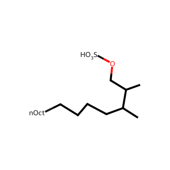 CCCCCCCCCCCCC(C)C(C)COS(=O)(=O)O